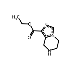 CCOC(=O)c1ncn2c1CNCC2